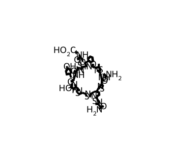 Cc1sc2nc1C(=O)N[C@@H]([C@H](OCC(=O)NCCC(=O)O)c1ccccc1)c1nc(cs1)C(=O)N[C@@H](Cc1ccc(O)cc1)C(=O)N1C[C@H](O)[C@H](C)[C@H]1c1nc(cs1)-c1nc(cs1)-c1nc(-c3nc(C(N)=O)cs3)ccc1-c1nc(cs1)C(=O)N[C@H]2CC(N)=O